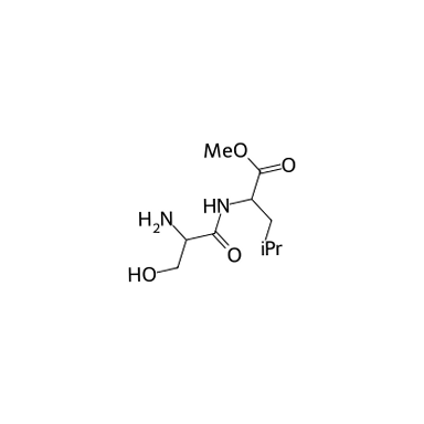 COC(=O)C(CC(C)C)NC(=O)C(N)CO